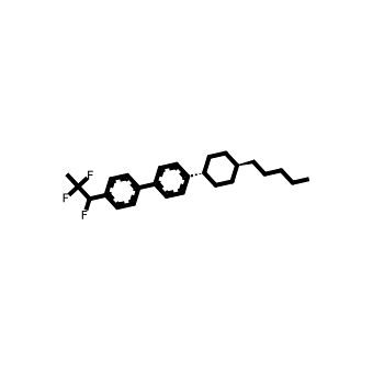 CCCCC[C@H]1CC[C@H](c2ccc(-c3ccc(C(F)C(C)(F)F)cc3)cc2)CC1